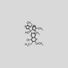 CCc1c(OC)nc2ccc(C(O)(c3cnc(C)n3C)c3cnc(C)n3C)cc2c1Cl